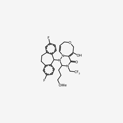 COCCCC1N(CC(F)(F)F)C(=O)/C2=C(\O)COC/C=C\N2N1C1c2ccc(F)cc2CCc2cc(F)ccc21